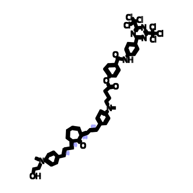 CN(CCO)c1ccc(/C=C/C=c2\cccc/c(=C\C=C\c3ccc(N(C)CCCC(=O)Oc4ccc(C(=O)Nc5ccc(-c6nc(C(Cl)(Cl)Cl)nc(C(Cl)(Cl)Cl)n6)cc5)cc4)cc3)c2=O)cc1